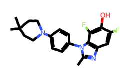 Cc1nc2cc(F)c(O)c(F)c2n1-c1ccc(N2CCC(C)(C)CC2)cc1